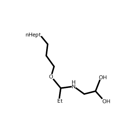 CCCCCCCCCCOC(CC)NCC(O)O